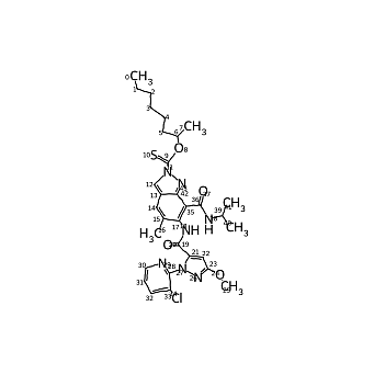 CCCCCCC(C)OC(=S)n1cc2cc(C)c(NC(=O)c3cc(OC)nn3-c3ncccc3Cl)c(C(=O)NC(C)C)c2n1